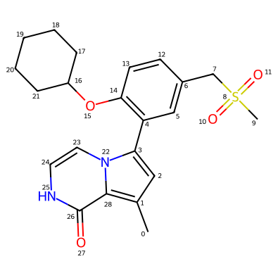 Cc1cc(-c2cc(CS(C)(=O)=O)ccc2OC2CCCCC2)n2cc[nH]c(=O)c12